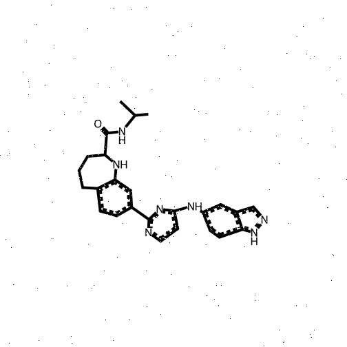 CC(C)NC(=O)C1CCCc2ccc(-c3nccc(Nc4ccc5[nH]ncc5c4)n3)cc2N1